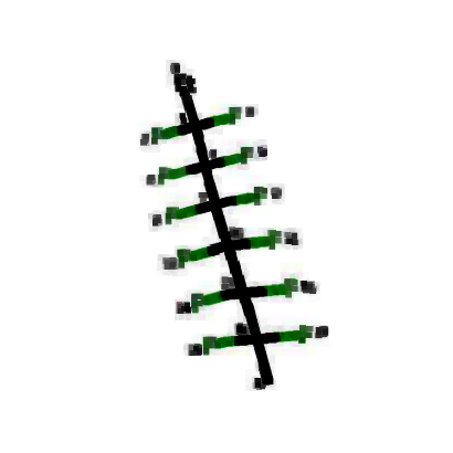 CCC(F)(F)C(F)(F)C(F)(F)C(F)(F)C(F)(F)C(C)(F)F